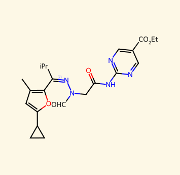 CCOC(=O)c1cnc(NC(=O)CN(C=O)/N=C(\c2oc(C3CC3)cc2C)C(C)C)nc1